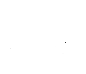 CCN(CCCl)P(=O)(O)OC1OC(COC(C)=O)C(OC(C)=O)CC1Br